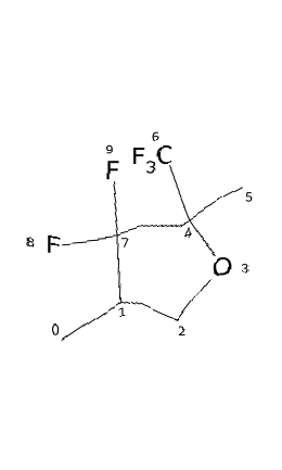 CC1COC(C)(C(F)(F)F)C1(F)F